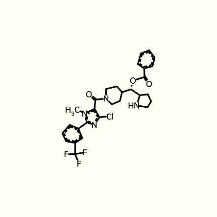 Cn1c(-c2cccc(C(F)(F)F)c2)nc(Cl)c1C(=O)N1CCC([C@H](OC(=O)c2ccccc2)C2CCCN2)CC1